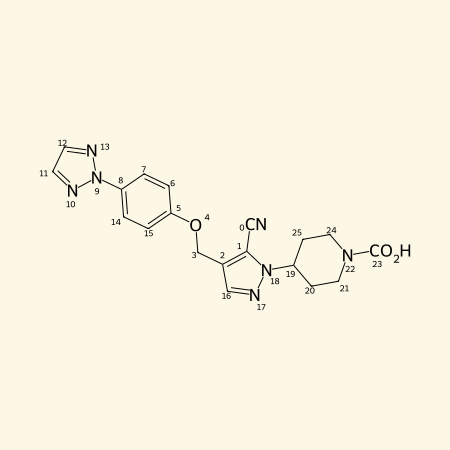 N#Cc1c(COc2ccc(-n3nccn3)cc2)cnn1C1CCN(C(=O)O)CC1